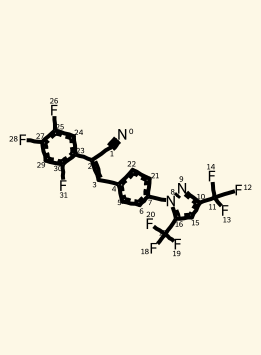 N#CC(=Cc1ccc(-n2nc(C(F)(F)F)cc2C(F)(F)F)cc1)c1cc(F)c(F)cc1F